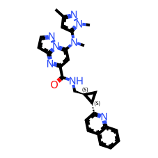 Cc1cc(N(C)c2cc(C(=O)NC[C@H]3C[C@@H]3c3ccc4ccccc4n3)nc3ccnn23)n(C)n1